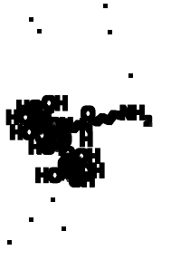 NCCCCCC(=O)NCCO[C@H]1O[C@H](CO[C@H]2O[C@H](CO)[C@@H](O)[C@H](O)[C@@H]2O)[C@@H](O)[C@H](O[C@@H]2O[C@H](CO)[C@@H](O)[C@H](O)[C@@H]2O)[C@@H]1O